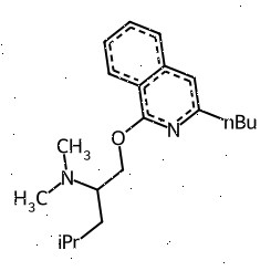 CCCCc1cc2ccccc2c(OCC(CC(C)C)N(C)C)n1